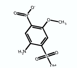 COc1cc(S(=O)(=O)O)c(N)cc1[N+](=O)[O-]